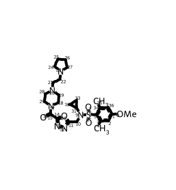 COc1cc(C)c(S(=O)(=O)N(Cc2nnc(C(=O)N3CCN(CCN4CCCC4)CC3)o2)C2CC2)c(C)c1